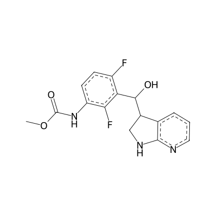 COC(=O)Nc1ccc(F)c(C(O)C2CNc3ncccc32)c1F